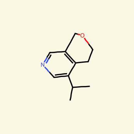 CC(C)c1cncc2c1CCOC2